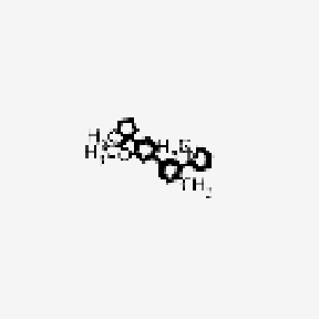 Cc1ccc(-c2ccc3c(c2)OC(C)(C)C32CCCC2)cc1-c1cccc[n+]1C